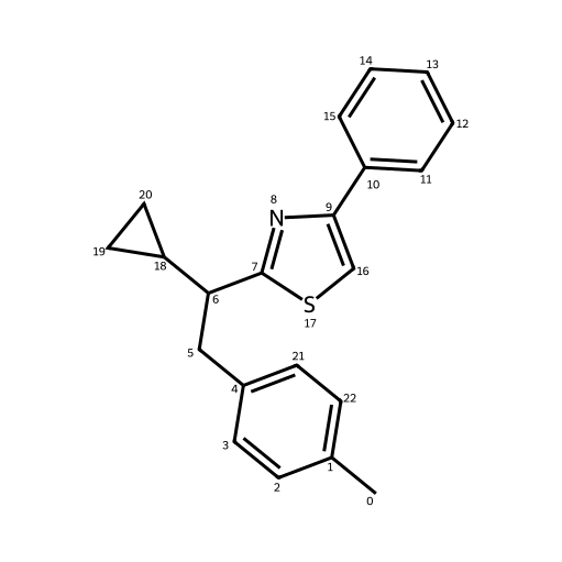 Cc1ccc(CC(c2nc(-c3ccccc3)cs2)C2CC2)cc1